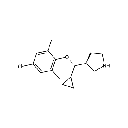 Cc1cc(Cl)cc(C)c1O[C@@H](C1CC1)[C@H]1CCNC1